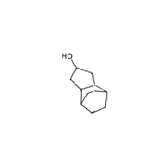 OC1CC2C3CCC(CC3)C2C1